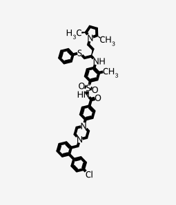 Cc1cc(S(=O)(=O)NC(=O)c2ccc(N3CCN(Cc4ccccc4-c4ccc(Cl)cc4)CC3)cc2)ccc1N[C@H](CCN1[C@@H](C)CC[C@@H]1C)CSc1ccccc1